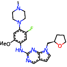 COc1cc(N2CCN(C)CC2)c(F)cc1Nc1ncc2ccn(C[C@H]3CCCO3)c2n1